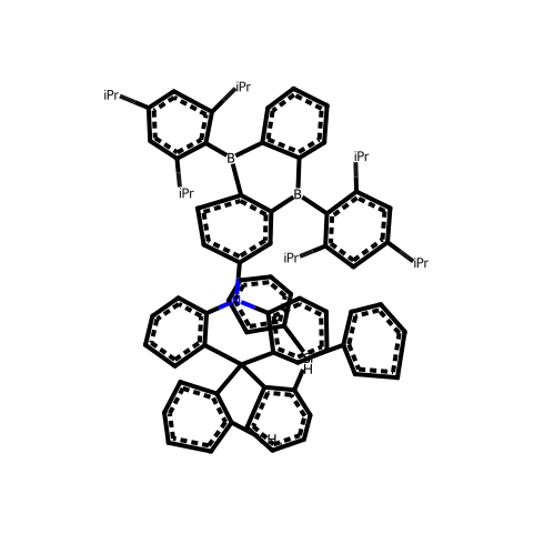 Cc1ccccc1C1(c2ccccc2[SiH](c2ccccc2)c2ccccc2)c2ccccc2N(c2ccc3c(c2)B(c2c(C(C)C)cc(C(C)C)cc2C(C)C)c2ccccc2B3c2c(C(C)C)cc(C(C)C)cc2C(C)C)c2ccccc21